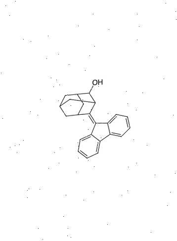 OC1C2CC3CC(C2)C(=C2c4ccccc4-c4ccccc42)C1C3